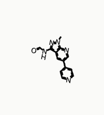 Cn1nc(NC=O)c2cc(-c3ccncc3)cnc21